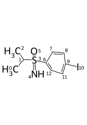 CC(C)S(=N)(=O)c1ccc(I)cc1